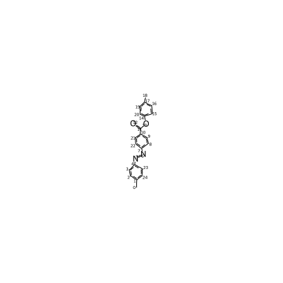 Cc1ccc(/N=N/c2ccc(C(=O)Oc3ccc(C)cc3)cc2)cc1